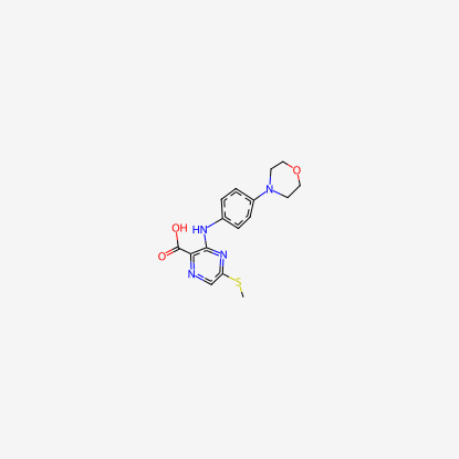 CSc1cnc(C(=O)O)c(Nc2ccc(N3CCOCC3)cc2)n1